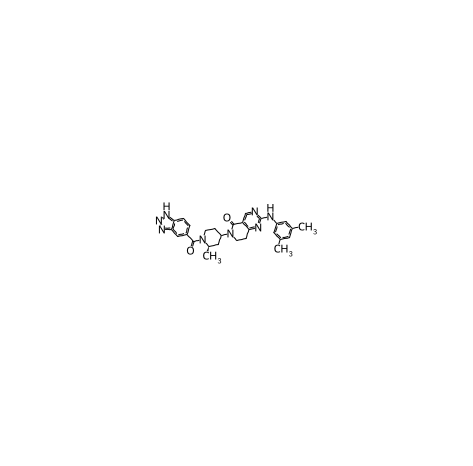 Cc1cc(C)cc(Nc2ncc3c(n2)CCN(C2CCN(C(=O)c4ccc5[nH]nnc5c4)[C@H](C)C2)C3=O)c1